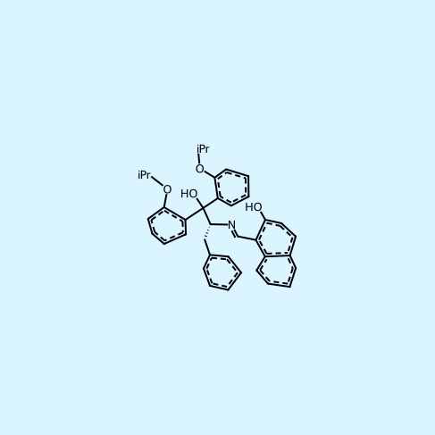 CC(C)Oc1ccccc1C(O)(c1ccccc1OC(C)C)[C@@H](Cc1ccccc1)N=Cc1c(O)ccc2ccccc12